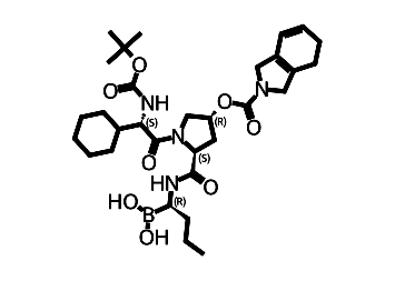 CCC[C@H](NC(=O)[C@@H]1C[C@@H](OC(=O)N2CC3=C(CCC=C3)C2)CN1C(=O)[C@@H](NC(=O)OC(C)(C)C)C1CCCCC1)B(O)O